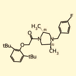 C[C@@H]1CN(Cc2ccc(F)cc2)[C@@H](C)CN1C(=O)COc1c(C(C)(C)C)cccc1C(C)(C)C